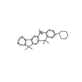 CN1c2ccc(C3CCCCC3)cc2C(C)(C)c2cc3c(cc21)-c1ccccc1C3(C)C